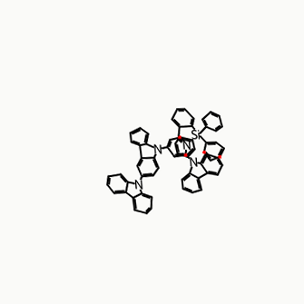 c1ccc([Si](c2ccccc2)(c2ccccc2)c2ccccc2-c2cc(-n3c4ccccc4c4cc(-n5c6ccccc6c6ccccc65)ccc43)cc(-n3c4ccccc4c4ccccc43)n2)cc1